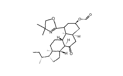 CC[C@@H](C)[C@H]1CC[C@H]2[C@@H]3C(=O)C[C@@H]4C[C@H](OC=O)CC(C5=NC(C)(C)CO5)[C@]4(C)[C@H]3CC[C@]12C